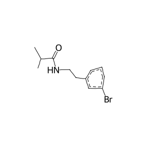 CC(C)C(=O)NCCc1cccc(Br)c1